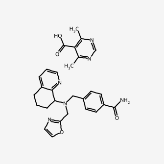 Cc1ncnc(C)c1C(=O)O.NC(=O)c1ccc(CN(Cc2ncco2)C2CCCc3cccnc32)cc1